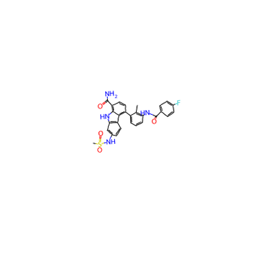 Cc1c(NC(=O)c2ccc(F)cc2)cccc1-c1ccc(C(N)=O)c2[nH]c3cc(NS(C)(=O)=O)ccc3c12